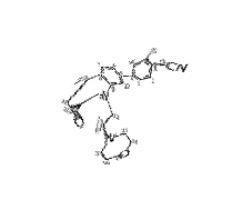 N#Cc1ccc(-c2ccc3c(c2)N(CCN2CCOCC2)C(=O)CC3)cc1